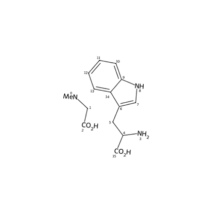 CNCC(=O)O.NC(Cc1c[nH]c2ccccc12)C(=O)O